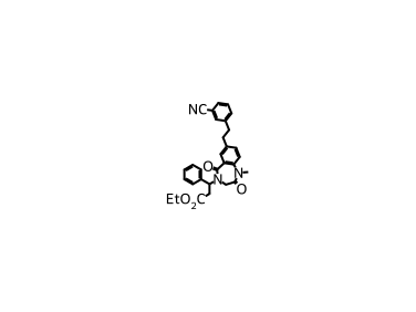 CCOC(=O)CC(c1ccccc1)N1CC(=O)N(C)c2ccc(CCc3cccc(C#N)c3)cc2C1=O